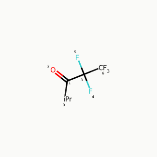 CC(C)C(=O)C(F)(F)C(F)(F)F